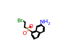 Nc1ccc2cccc(S(=O)(=O)CCBr)c2c1